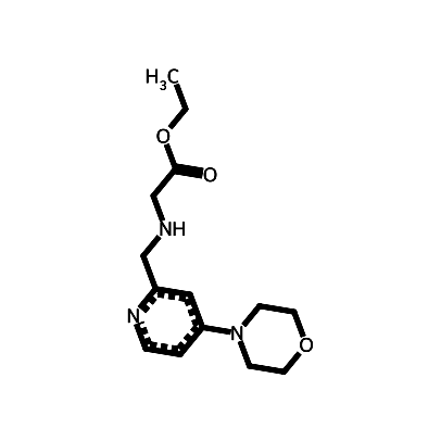 CCOC(=O)CNCc1cc(N2CCOCC2)ccn1